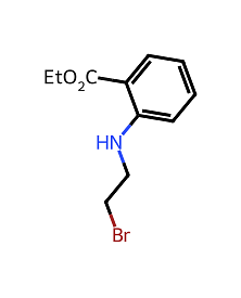 CCOC(=O)c1ccccc1NCCBr